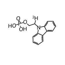 [2H]C(COP(=O)(O)O)n1c2ccccc2c2ccccc21